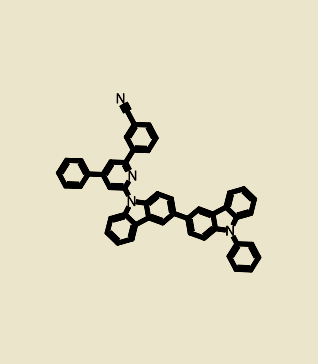 N#Cc1cccc(-c2cc(-c3ccccc3)cc(-n3c4ccccc4c4cc(-c5ccc6c(c5)c5ccccc5n6-c5ccccc5)ccc43)n2)c1